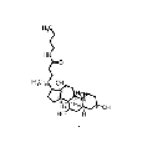 CCCCNC(=O)CC[C@@H](C)C1CC[C@H]2[C@@H]3[C@H](O)C[C@@H]4C[C@H](O)CC[C@]4(C)[C@H]3CC[C@]12C